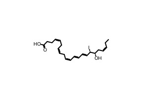 CC/C=C\C[C@@H](O)[C@H](I)/C=C/C=C/C=C\C/C=C\C/C=C\CCC(=O)O